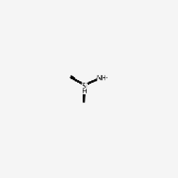 C[SiH](C)[NH]